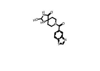 O=C(c1ccc2scnc2c1)N1CCC2(CC1)NC(O)NC2=O